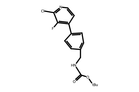 CC(C)(C)OC(=O)NCc1ccc(-c2ccnc(Cl)c2F)cc1